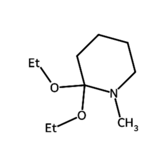 CCOC1(OCC)CCCCN1C